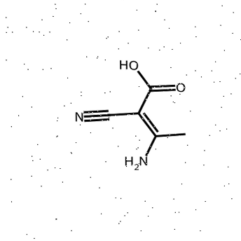 CC(N)=C(C#N)C(=O)O